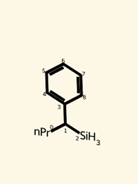 CCCC([SiH3])c1ccccc1